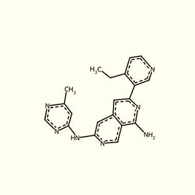 CCc1ccncc1-c1cc2cc(Nc3cc(C)ncn3)ncc2c(N)n1